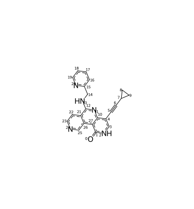 O=c1[nH]cc(C#CC2CC2)c2nc(NCc3ccccn3)c3ccncc3c12